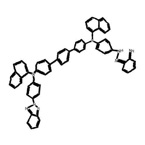 N=C1C=CC=C/C1=N/Nc1ccc(N(c2ccc(-c3ccc(-c4ccc(N(c5ccc(-n6nc7ccccc7n6)cc5)c5cccc6ccccc56)cc4)cc3)cc2)c2cccc3ccccc23)cc1